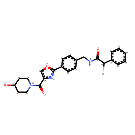 O=C(NCc1ccc(-c2nc(C(=O)N3CCC(O)CC3)co2)cc1)C(F)c1ccccc1